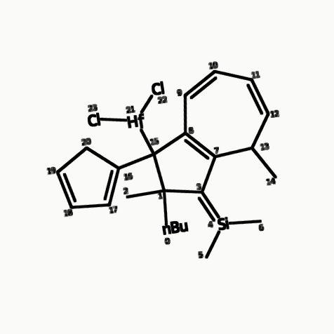 CCCCC1(C)C(=[Si](C)C)C2=C(C=CC=CC2C)[C]1(C1=CC=CC1)[Hf]([Cl])[Cl]